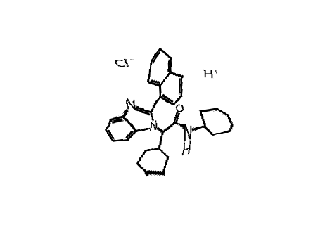 O=C(NC1CCCCC1)C(C1CCCCC1)n1c(-c2cccc3ccccc23)nc2ccccc21.[Cl-].[H+]